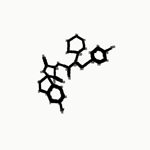 O=C1OC2(CCc3cc(Br)ccc32)C(=O)N1CC(=O)N(Cc1ccc(F)cc1)C1CCCCC1